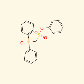 O=P(CS(=O)(=O)Oc1ccccc1)(c1ccccc1)c1ccccc1